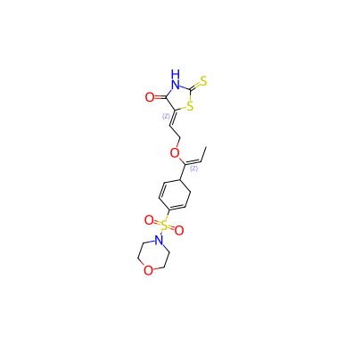 C/C=C(\OC/C=C1\SC(=S)NC1=O)C1C=CC(S(=O)(=O)N2CCOCC2)=CC1